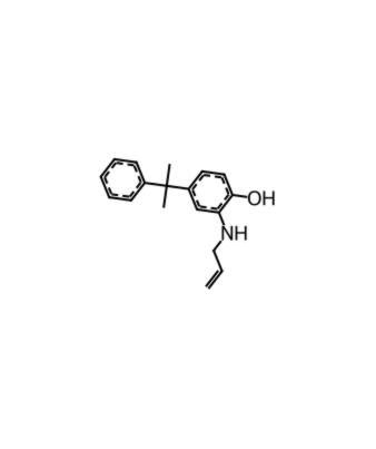 C=CCNc1cc(C(C)(C)c2ccccc2)ccc1O